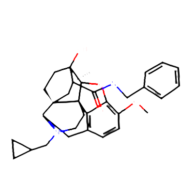 COc1ccc2c3c1OC1C4(O)CC[C@]5(C[C@@H]4C(=O)NCc4ccccc4)C(C2)N(CC2CC2)CCC315